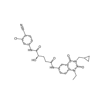 CCn1c(=O)n(CC2CC2)c(=O)c2cc(NC(=O)CC[C@@H](O)C(=O)Nc3ccc(C#N)c(Cl)c3)ccc21